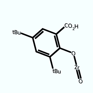 CC(C)(C)c1cc(C(=O)O)c([O][Zr]=[O])c(C(C)(C)C)c1